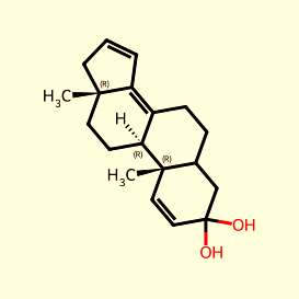 C[C@@]12CC=CC1=C1CCC3CC(O)(O)C=C[C@]3(C)[C@H]1CC2